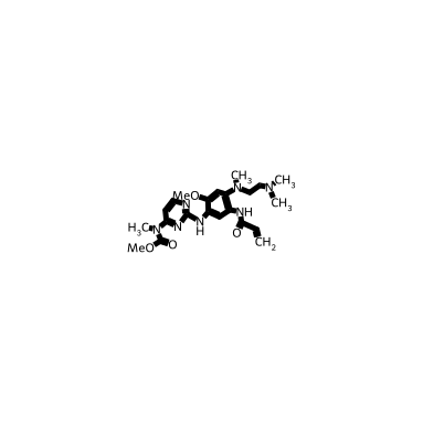 C=CC(=O)Nc1cc(Nc2nccc(N(C)C(=O)OC)n2)c(OC)cc1N(C)CCN(C)C